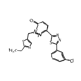 CCc1ncc(Cn2nc(-c3nnc(-c4cccc(Cl)c4)s3)ccc2=O)s1